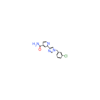 NC(=O)c1ccnc(-c2cn(Cc3cccc(Cl)c3)cn2)c1